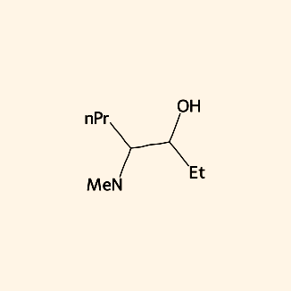 CCCC(NC)C(O)CC